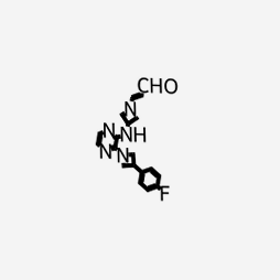 O=CC=CN1CC(Nc2nccnc2N2CC(c3ccc(F)cc3)C2)C1